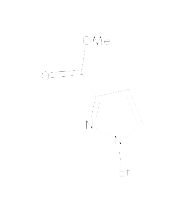 CCn1ccc(C(=O)OC)n1